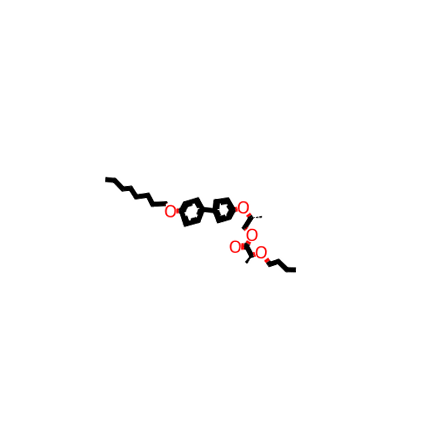 CCCCCCCCOc1ccc(-c2ccc(O[C@H](C)COC(=O)[C@H](C)OCCCC)cc2)cc1